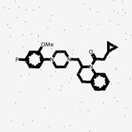 COc1cc(F)ccc1N1CCN(CC2CCc3ccccc3N2C(=O)CC2CC2)CC1